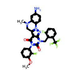 COc1cccc(-n2c(=O)c3c4n(nc3n(Cc3c(F)cccc3C(F)(F)F)c2=O)-c2ccc(N)cc2N(C)C4)c1F